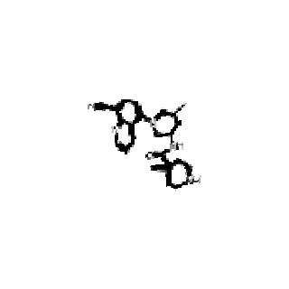 C[C@H]1C[C@@H](NC(=O)C2(C)CCNCC2)CN(c2ccc(C#N)c3ncccc23)C1